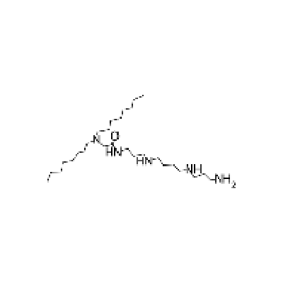 CCCCCCCCN(CCCCCCCC)CC(=O)NCCCNCCCCNCCCN